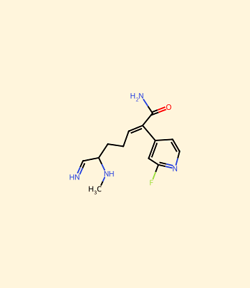 CNC(C=N)CC/C=C(/C(N)=O)c1ccnc(F)c1